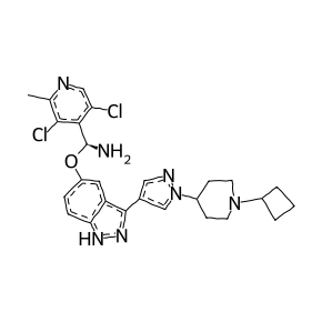 Cc1ncc(Cl)c([C@@H](N)Oc2ccc3[nH]nc(-c4cnn(C5CCN(C6CCC6)CC5)c4)c3c2)c1Cl